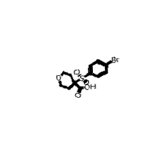 O=C(O)C1(S(=O)(=O)c2ccc(Br)cc2)CCOCC1